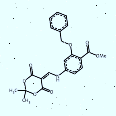 COC(=O)c1ccc(NC=C2C(=O)OC(C)(C)OC2=O)cc1OCc1ccccc1